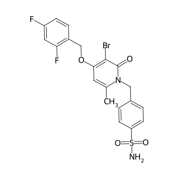 Cc1cc(OCc2ccc(F)cc2F)c(Br)c(=O)n1Cc1ccc(S(N)(=O)=O)cc1